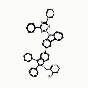 BrC1=CCCC=C1Cn1c(-c2ccccc2)c(-c2ccccc2)c2cc(-c3ccc4c(c3)c3ccccc3n4-c3nc(C4=CCCC=C4)nc(-c4ccccc4)n3)ccc21